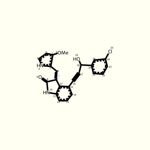 COc1cc[nH]c1/C=C1\C(=O)Nc2cccc(C#CC(O)c3cccc(Cl)c3)c21